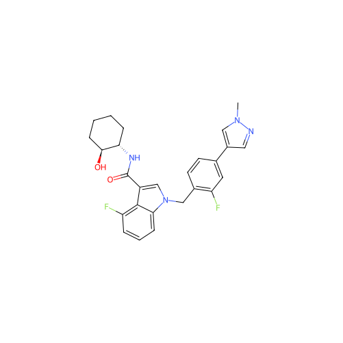 Cn1cc(-c2ccc(Cn3cc(C(=O)N[C@H]4CCCC[C@@H]4O)c4c(F)cccc43)c(F)c2)cn1